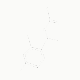 CC(=O)C(=O)NC(C)c1ccc(C)cc1C